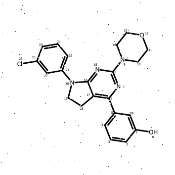 Oc1cccc(-c2nc(N3CCOCC3)nc3c2CCN3c2cccc(Cl)c2)c1